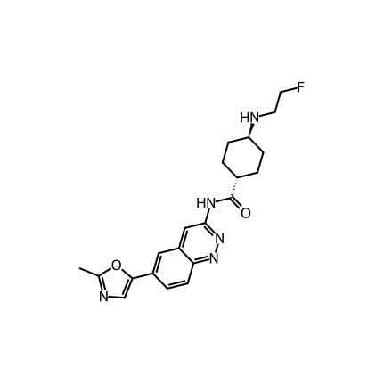 Cc1ncc(-c2ccc3nnc(NC(=O)[C@H]4CC[C@H](NCCF)CC4)cc3c2)o1